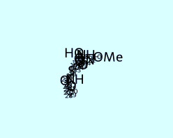 COCCN1CCC(C(=O)NO)(S(=O)(=O)c2ccc(SCCNC(=O)c3cc4ccccc4o3)cc2)CC1